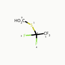 O=C(O)SC(F)(F)C(F)(F)F